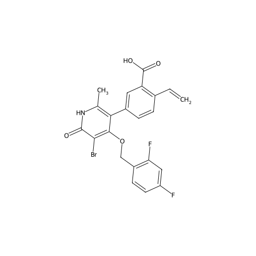 C=Cc1ccc(-c2c(C)[nH]c(=O)c(Br)c2OCc2ccc(F)cc2F)cc1C(=O)O